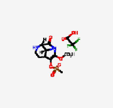 CS(=O)(=O)OC1=C(OC(=O)O)N2C(=O)[C@H]3NCCC1[C@H]32.O=C(O)C(F)(F)F